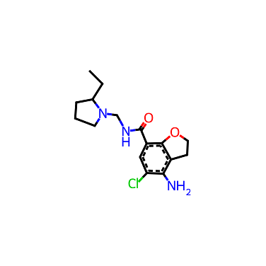 CCC1CCCN1CNC(=O)c1cc(Cl)c(N)c2c1OCC2